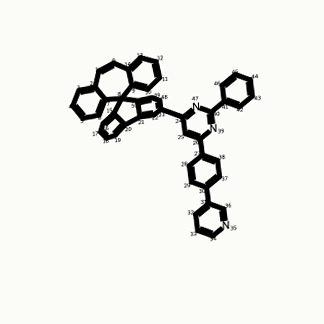 C1=Cc2ccccc2C2(c3ccccc31)c1ccccc1-c1cc(-c3cc(-c4ccc(-c5cccnc5)cc4)nc(-c4ccccc4)n3)ccc12